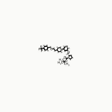 CC(C)(C)OC(=O)N1CCC[C@H]1COc1cncc(N2CCC(CCOCc3ccc(C(F)(F)F)cc3)CC2)c1